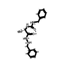 CC(C)(C)[C@H](NC(=O)NCc1ccccc1)C(=O)NNCc1ccccc1